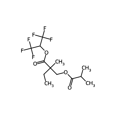 CCC(C)(COC(=O)C(C)C)C(=O)OC(C(F)(F)F)C(F)(F)F